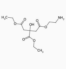 CCOC(=O)CC(O)(CC(=O)OCCN)C(=O)OCC